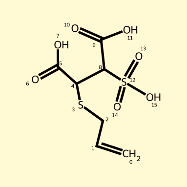 C=CCSC(C(=O)O)C(C(=O)O)S(=O)(=O)O